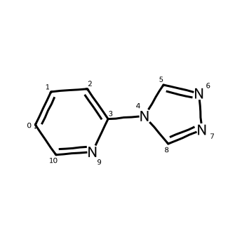 [c]1ccc(-n2cnnc2)nc1